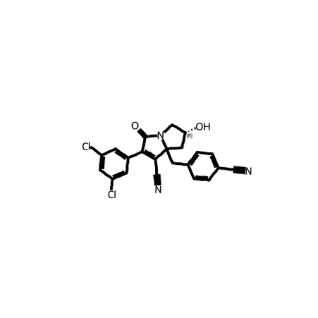 N#CC1=C(c2cc(Cl)cc(Cl)c2)C(=O)N2C[C@H](O)CC12Cc1ccc(C#N)cc1